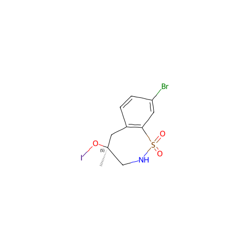 C[C@@]1(OI)CNS(=O)(=O)c2cc(Br)ccc2C1